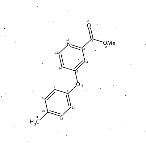 COC(=O)c1cc(Oc2ccc(C)cc2)ccn1